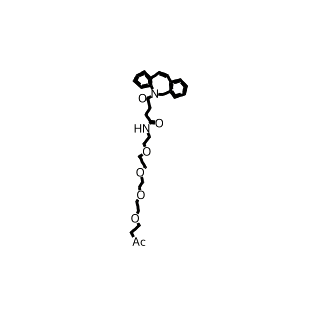 CC(=O)CCOCCOCCOCCOCCNC(=O)CCC(=O)N1Cc2ccccc2/C=C\c2ccccc21